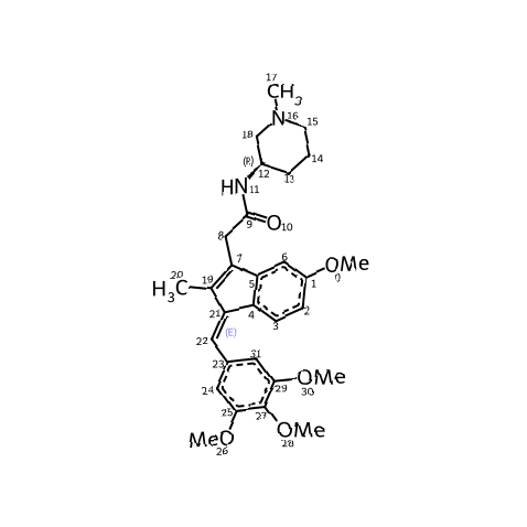 COc1ccc2c(c1)C(CC(=O)N[C@@H]1CCCN(C)C1)=C(C)/C2=C/c1cc(OC)c(OC)c(OC)c1